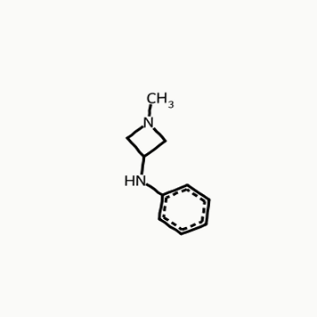 CN1CC(Nc2ccccc2)C1